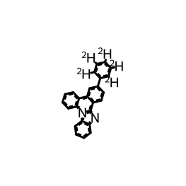 [2H]c1c([2H])c([2H])c(-c2ccc3c(c2)c2ccccc2n2c4ccccc4nc32)c([2H])c1[2H]